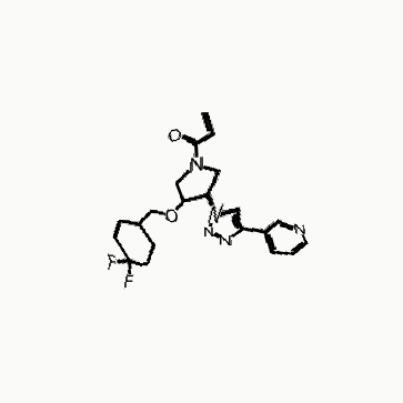 C=CC(=O)N1CC(OCC2CCC(F)(F)CC2)C(n2cc(-c3cccnc3)nn2)C1